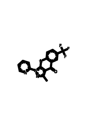 Cc1nn(-c2ccccn2)c2c1C(=O)c1cc(C(F)(F)F)ccc1[N]2